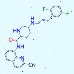 N#Cc1ccc2cccc(NC(=O)C3CCC(NCC=Cc4cc(F)ccc4F)CN3)c2n1